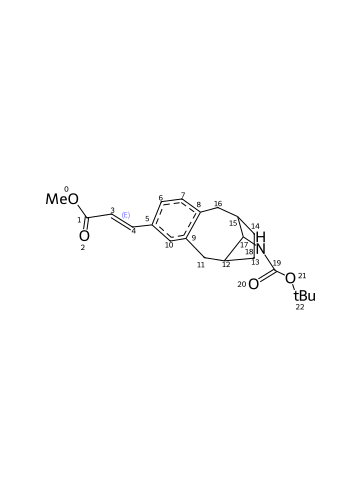 COC(=O)/C=C/c1ccc2c(c1)CC1CCC(C2)C1NC(=O)OC(C)(C)C